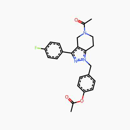 CC(=O)Oc1ccc(Cn2nc(-c3ccc(F)cc3)c3c2CCN(C(C)=O)C3)cc1